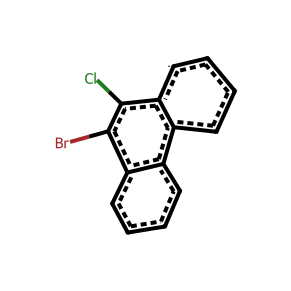 Clc1c(Br)c2ccccc2c2ccc[c]c12